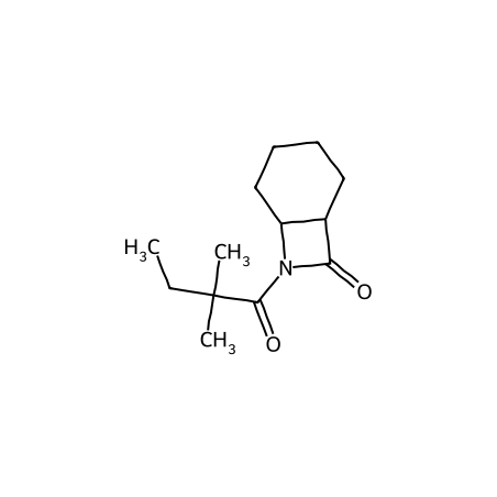 CCC(C)(C)C(=O)N1C(=O)C2CCCCC21